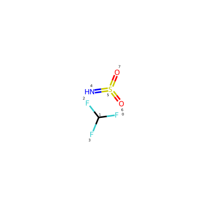 FC(F)F.N=S(=O)=O